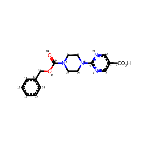 O=C(O)c1cnc(N2CCN(C(=O)OCc3ccccc3)CC2)nc1